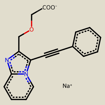 O=C([O-])COCc1nc2ccccn2c1C#Cc1ccccc1.[Na+]